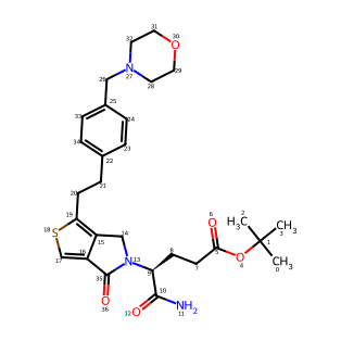 CC(C)(C)OC(=O)CC[C@@H](C(N)=O)N1Cc2c(csc2CCc2ccc(CN3CCOCC3)cc2)C1=O